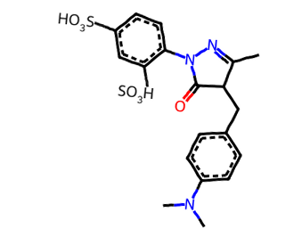 CC1=NN(c2ccc(S(=O)(=O)O)cc2S(=O)(=O)O)C(=O)C1Cc1ccc(N(C)C)cc1